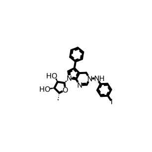 C[C@H]1O[C@@H](n2cc(-c3ccccc3)c3c2N=CN(Nc2ccc(I)cc2)C3)[C@H](O)[C@@H]1O